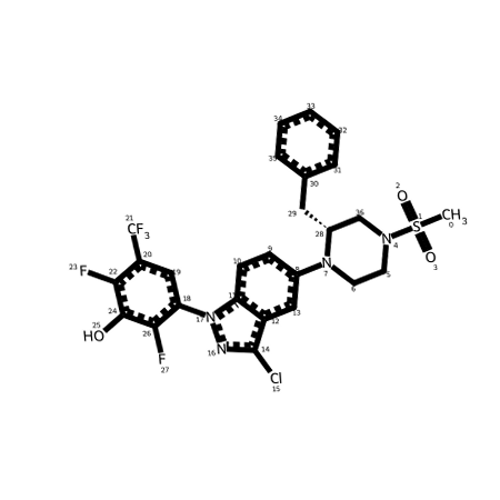 CS(=O)(=O)N1CCN(c2ccc3c(c2)c(Cl)nn3-c2cc(C(F)(F)F)c(F)c(O)c2F)[C@H](Cc2ccccc2)C1